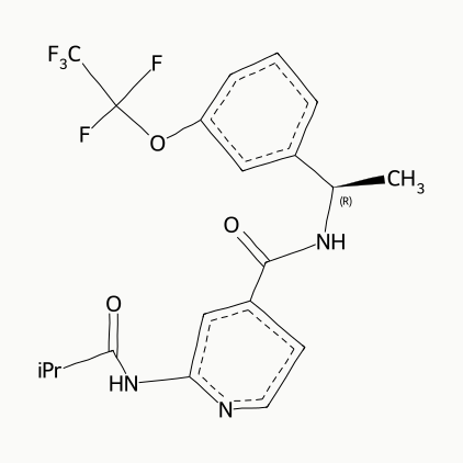 CC(C)C(=O)Nc1cc(C(=O)N[C@H](C)c2cccc(OC(F)(F)C(F)(F)F)c2)ccn1